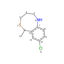 CC1SCCCNc2ccc(Cl)cc21